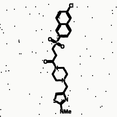 CNc1nc(CN2CCN(C(=O)CCS(=O)(=O)c3ccc4cc(Cl)ccc4c3)CC2)cs1